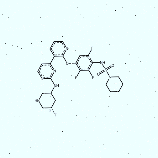 O=S(=O)(Nc1c(F)cc(Oc2ncccc2-c2ccnc(NC3CNC[C@@H](F)C3)n2)c(F)c1F)N1CCCCC1